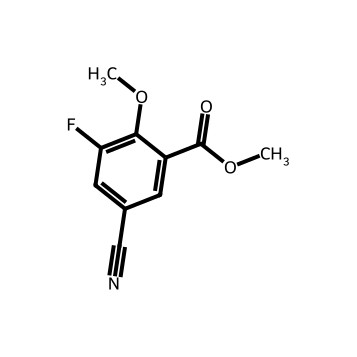 COC(=O)c1cc(C#N)cc(F)c1OC